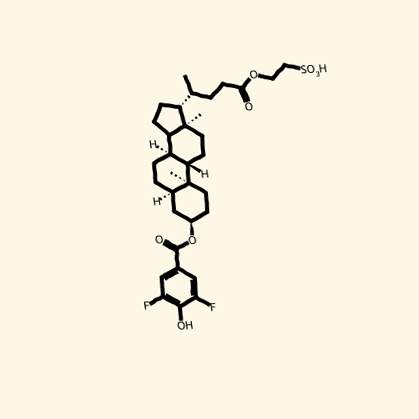 CC(CCC(=O)OCCS(=O)(=O)O)[C@H]1CCC2[C@@H]3CC[C@@H]4C[C@H](OC(=O)c5cc(F)c(O)c(F)c5)CC[C@]4(C)[C@H]3CC[C@@]21C